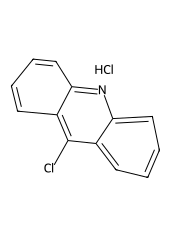 Cl.Clc1c2ccccc2nc2ccccc12